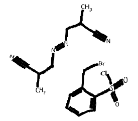 CC(C#N)CN=NCC(C)C#N.O=S(=O)(Cl)c1ccccc1CBr